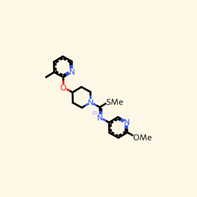 COc1ccc(/N=C(\SC)N2CCC(Oc3ncccc3C)CC2)cn1